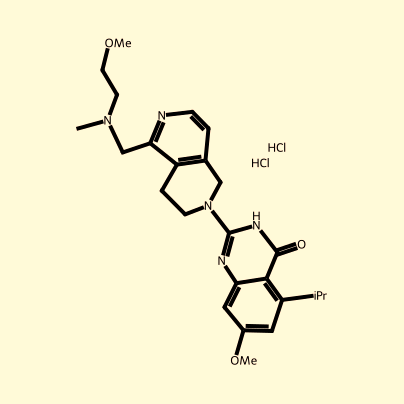 COCCN(C)Cc1nccc2c1CCN(c1nc3cc(OC)cc(C(C)C)c3c(=O)[nH]1)C2.Cl.Cl